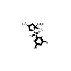 C[C@@]1(C(=O)O)C[C@H](O)CN1S(=O)(=O)c1cc(Cl)cc(Cl)c1